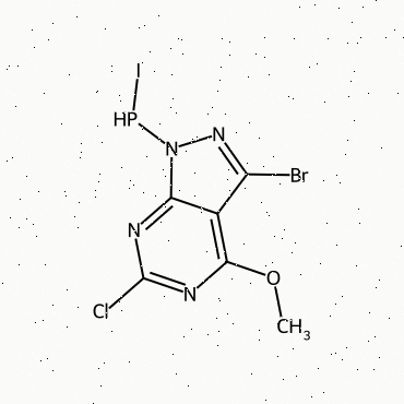 COc1nc(Cl)nc2c1c(Br)nn2PI